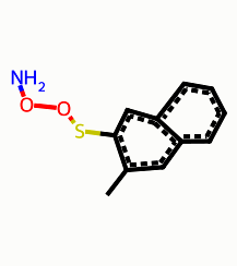 Cc1cc2ccccc2cc1SOON